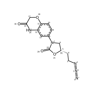 [N-]=[N+]=NCC[C@H]1CN(c2ccc3c(c2)NC(=O)CO3)C(=O)O1